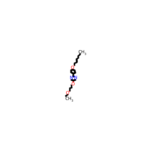 CCCCC=CCCOc1ccc(-c2ncc(OCCCCOCCC)cn2)cc1